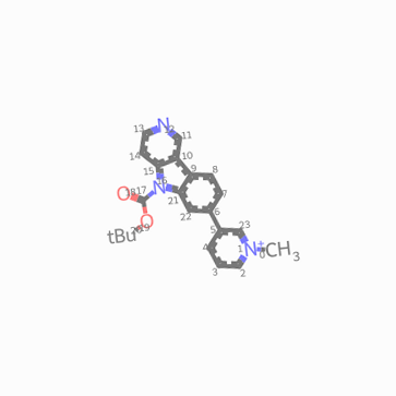 C[n+]1cccc(-c2ccc3c4cnccc4n(C(=O)OC(C)(C)C)c3c2)c1